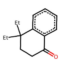 CCC1(CC)CCC(=O)c2ccccc21